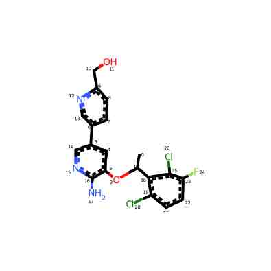 CC(Oc1cc(-c2ccc(CO)nc2)cnc1N)c1c(Cl)ccc(F)c1Cl